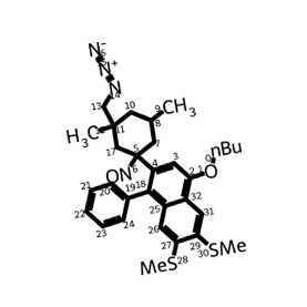 CCCCOc1cc(C2(N=O)CC(C)CC(C)(CN=[N+]=[N-])C2)c(-c2ccccc2)c2cc(SC)c(SC)cc12